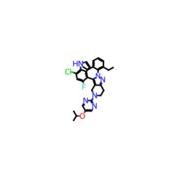 CCc1cccc(CC)c1-n1nc2c(c1-c1c(F)cc(Cl)c3[nH]ccc13)CN(c1ncc(OC(C)C)cn1)CC2